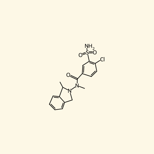 CC1c2ccccc2CN1N(C)C(=O)c1ccc(Cl)c(S(N)(=O)=O)c1